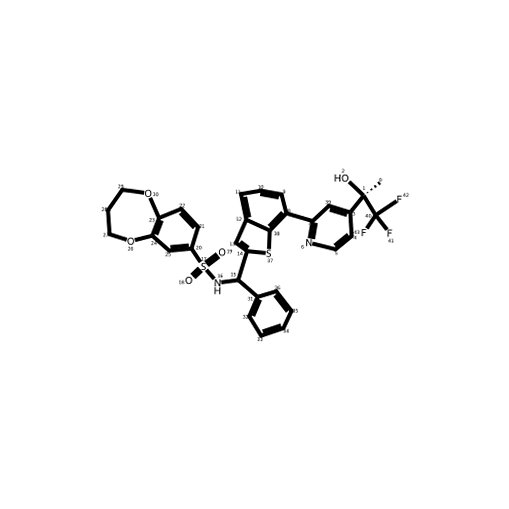 C[C@@](O)(c1ccnc(-c2cccc3cc(C(NS(=O)(=O)c4ccc5c(c4)OCCCO5)c4ccccc4)sc23)c1)C(F)(F)F